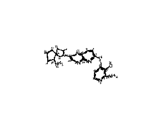 Nc1nccc(Sc2ccc3nc(N4CCC5(CCCC5N)C4)cnc3n2)c1Cl